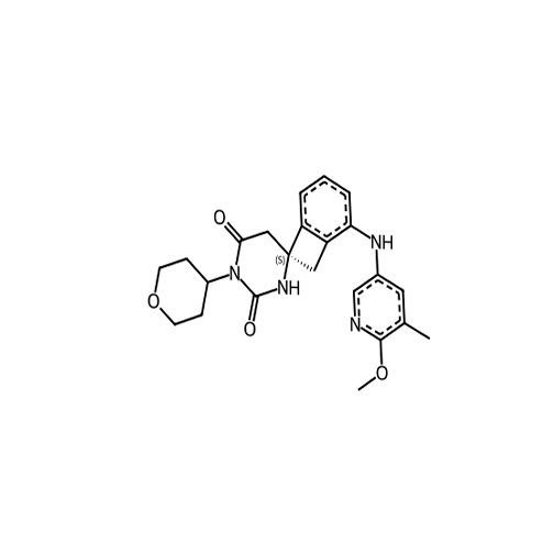 COc1ncc(Nc2cccc3c2C[C@]32CC(=O)N(C3CCOCC3)C(=O)N2)cc1C